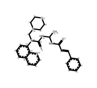 CC(NC(=O)/C=C/c1ccccc1)NC(=S)N(CN1CCOCC1)c1cccc2cccnc12